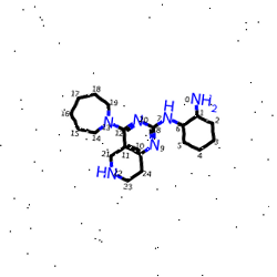 NC1CCCCC1Nc1nc2c(c(N3CCCCCC3)n1)CNCC2